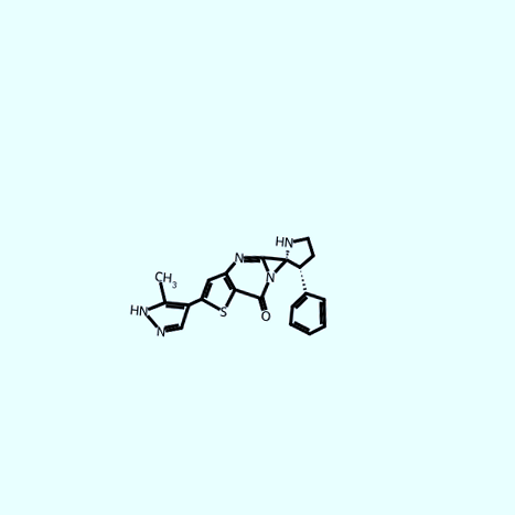 Cc1[nH]ncc1-c1cc2nc3n(c(=O)c2s1)[C@@]31NCC[C@@H]1c1ccccc1